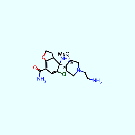 CO[C@@H]1CN(CCN)CC[C@@H]1C1(N)C(Cl)=CC(C(N)=O)=C2OCCC21